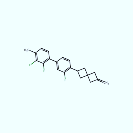 C=C1CC2(C1)CC(c1ccc(-c3ccc(C)c(F)c3F)cc1F)C2